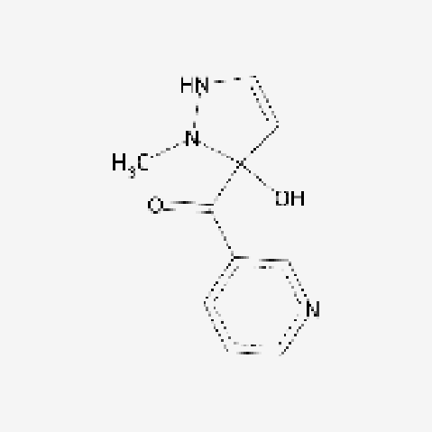 CN1NC=CC1(O)C(=O)c1cccnc1